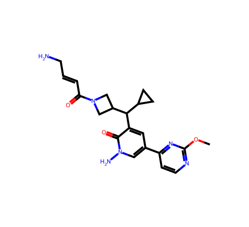 COc1nccc(-c2cc(C(C3CC3)C3CN(C(=O)C=CCN)C3)c(=O)n(N)c2)n1